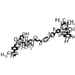 Cc1ncsc1-c1ccc(CNC(=O)[C@@H]2C[C@@H](O)CN2C(=O)C(NC(=O)CNC(=O)CCC(=O)N2CCN(c3ncc(-c4cc(NC(=O)c5c[nH]c(=O)cc5C(F)(F)F)c(N5C[C@@H](C)N(C)[C@@H](C)C5)cc4F)cn3)CC2)C(C)(C)C)cc1